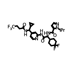 CC(C)n1nccc1C(=O)N[C@H](C(=O)Nc1cc(C(NC(=O)CCC(F)(F)F)C2CC2)ccn1)C1CCC(F)(F)CC1